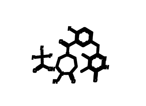 Cc1c(Cc2ccc(F)c(C(=O)N3CCC(=O)N(C(C)C)CC3)c2)n[nH]c(=O)c1C.O=C(O)C(F)(F)F